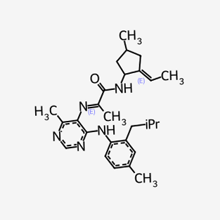 C/C=C1\CC(C)CC1NC(=O)/C(C)=N/c1c(C)ncnc1Nc1ccc(C)cc1CC(C)C